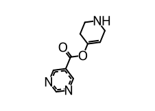 O=C(OC1=CCNCC1)c1cncnc1